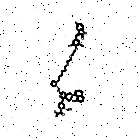 C=C(F)C(=O)N1CCN(c2nc(OC[C@@H]3CCCN3CCCOCCOCCOCCOc3c(Br)cc(C=C4C(=O)Nc5ccc(I)cc54)cc3Br)nc3c2CCN(c2cccc4cccc(Cl)c24)C3)C[C@@H]1CC#N